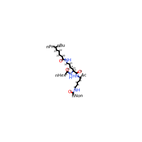 CCCCCCCCCC(=O)NCCCCC(NC(=O)C(CCCCNC(=O)CCCCC(CCC)CCCC)NC(=O)CCCCCC)C(C)=O